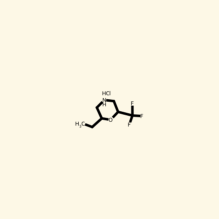 CCC1CNCC(C(F)(F)F)O1.Cl